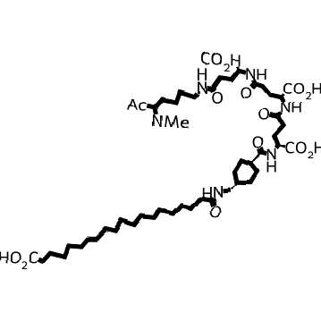 CNC(CCCCNC(=O)CC[C@H](NC(=O)CC[C@H](NC(=O)CC[C@H](NC(=O)[C@H]1CC[C@H](CNC(=O)CCCCCCCCCCCCCCCCCCC(=O)O)CC1)C(=O)O)C(=O)O)C(=O)O)C(C)=O